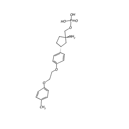 Cc1ccc(OCCOc2ccc([C@@H]3CC[C@](N)(COP(=O)(O)O)C3)cc2)cc1